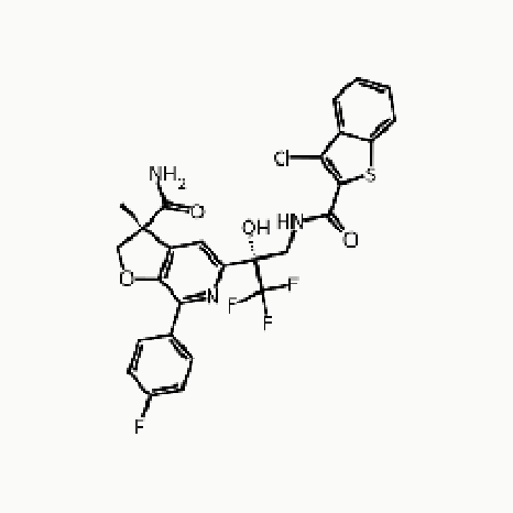 C[C@]1(C(N)=O)COc2c1cc([C@@](O)(CNC(=O)c1sc3ccccc3c1Cl)C(F)(F)F)nc2-c1ccc(F)cc1